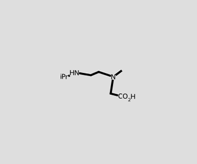 CC(C)NCCN(C)CC(=O)O